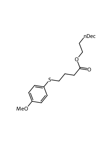 CCCCCCCCCCCCOC(=O)CCCSc1ccc(OC)cc1